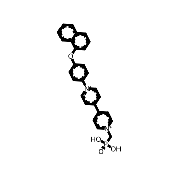 O=P(O)(O)C[n+]1ccc(-c2cc[n+](-c3ccc(Oc4cccc5ccccc45)cc3)cc2)cc1